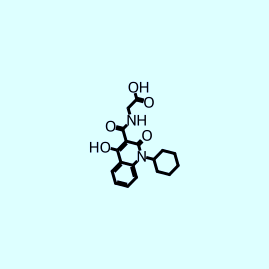 O=C(O)CNC(=O)c1c(O)c2ccccc2n(C2CCCCC2)c1=O